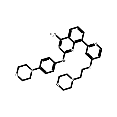 Nc1nc(Nc2ccc(N3CCOCC3)cc2)nc2c(-c3cc(OCCN4CCOCC4)ccn3)cccc12